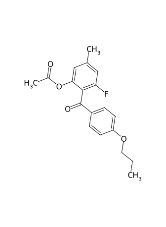 CCCOc1ccc(C(=O)c2c(F)cc(C)cc2OC(C)=O)cc1